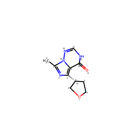 Cc1nc([C@@H]2CCOC2)c2c(=O)[nH]cnn12